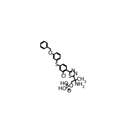 CC(N)(COP(=O)(O)O)c1nnc(-c2ccc(Sc3cccc(OCc4ccccc4)c3)cc2Cl)s1